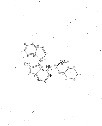 CCc1sc2ncnc(N[C@H](CC3CCCCC3)C(=O)O)c2c1-c1cccc2ccccc12